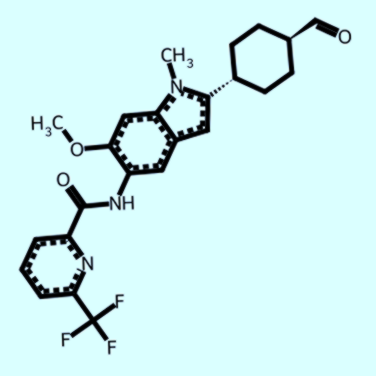 COc1cc2c(cc1NC(=O)c1cccc(C(F)(F)F)n1)cc([C@H]1CC[C@H](C=O)CC1)n2C